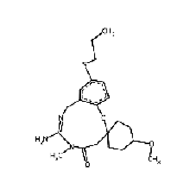 CCCSc1ccc2c(c1)C/N=C(/N)N(C)C(=O)CC1(CCC(OC)CC1)C2